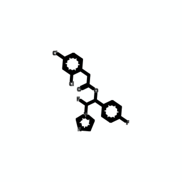 O=C(Cc1ccc(Cl)cc1Cl)OC(c1ccc(F)cc1)C(F)n1ccnc1